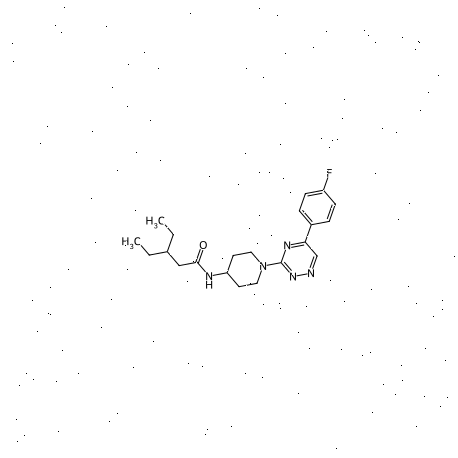 CCC(CC)CC(=O)NC1CCN(c2nncc(-c3ccc(F)cc3)n2)CC1